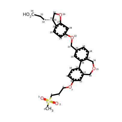 CS(=O)(=O)CCCOc1ccc2c(c1)COCc1ccc(COc3ccc4c(c3)OC[C@H]4CCC(=O)O)cc1-2